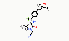 CC(C)C[C@H](N[C@@H](c1ccc(CCC(C)(C)O)cc1)C(F)(F)F)C(=O)NCC#N